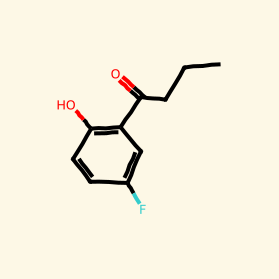 CCCC(=O)c1cc(F)ccc1O